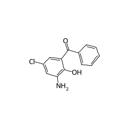 Nc1cc(Cl)cc(C(=O)c2ccccc2)c1O